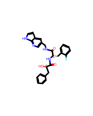 O=C(N[C@@H](Cc1ccccc1F)C(=O)NCc1cnc2[nH]ccc2c1)[C@H](O)Cc1ccccc1